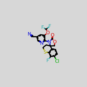 N#Cc1cnc(N2C(=O)OCC23CCSc2c3ccc(Cl)c2F)c(OC(F)F)c1